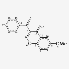 C=C(C1=COc2ccc(OC)cc2C1=C)c1ccccc1